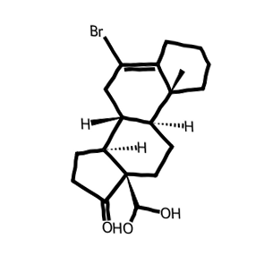 C[C@]12CCCCC1=C(Br)C[C@@H]1[C@@H]2CC[C@]2(C(O)O)C(=O)CC[C@@H]12